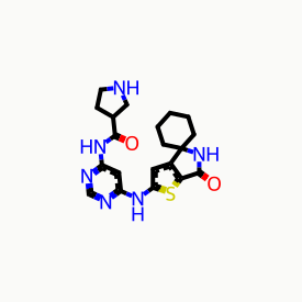 O=C1NC2(CCCCC2)c2cc(Nc3cc(NC(=O)C4CCNC4)ncn3)sc21